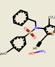 C#Cc1scc(C(=O)O)c1N(Cc1ccccc1)S(=O)(=O)c1ccc(OC)cc1.NO